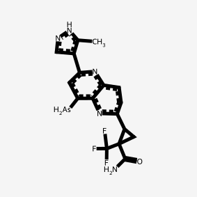 Cc1[nH]ncc1-c1cc([AsH2])c2nc(C3CC3(C(N)=O)C(F)(F)F)ccc2n1